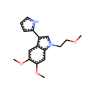 COCCn1cc(-c2ccc[nH]2)c2cc(OC)c(OC)cc21